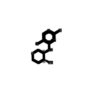 N#C[C@@H]1CCOC[C@H]1Nc1nc(Cl)ncc1Cl